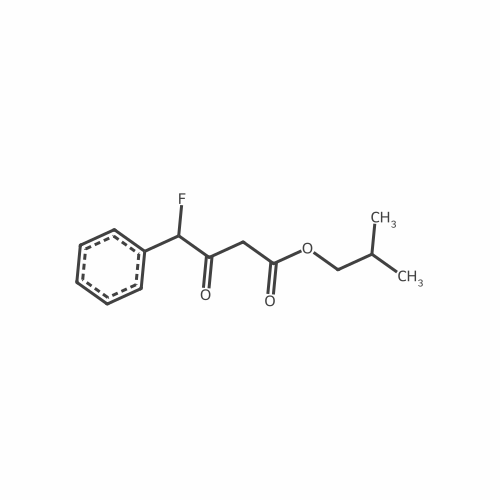 CC(C)COC(=O)CC(=O)C(F)c1ccccc1